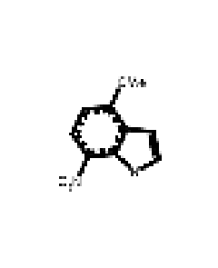 COc1ccc([N+](=O)[O-])c2c1C=C[N]2